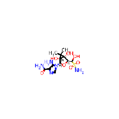 CC1(C)[C@]2(O)[C@H](n3cnc(C(N)=O)c3N)O[C@H](C(O)S(N)(=O)=O)[C@]12O